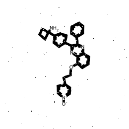 NC1(c2ccc(-c3nc4c(OCCc5cc[n+]([O-])cc5)cccc4nc3-c3ccccc3)cc2)CCC1